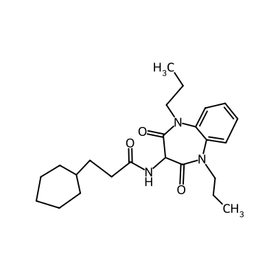 CCCN1C(=O)C(NC(=O)CCC2CCCCC2)C(=O)N(CCC)c2ccccc21